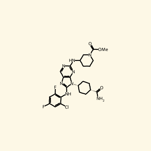 COC(=O)N1CCCC(Nc2ncc3nc(Nc4c(F)cc(F)cc4Cl)n([C@H]4CC[C@@H](C(N)=O)CC4)c3n2)C1